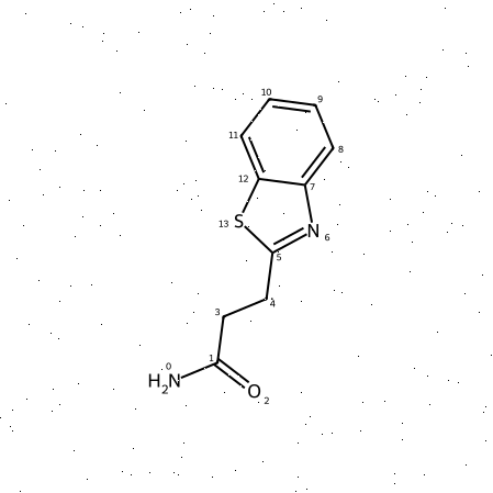 NC(=O)C[CH]c1nc2ccccc2s1